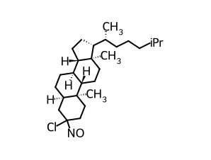 CC(C)CCC[C@@H](C)[C@H]1CC[C@H]2[C@@H]3CC[C@@H]4CC(Cl)(N=O)CC[C@]4(C)[C@H]3CC[C@]12C